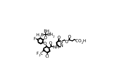 BC(B)(B)Oc1cc(F)ccc1Oc1cc(C(F)(F)F)c(Cl)cc1C(=O)Nc1cnn(COC(=O)CCC(=O)O)c(=O)c1